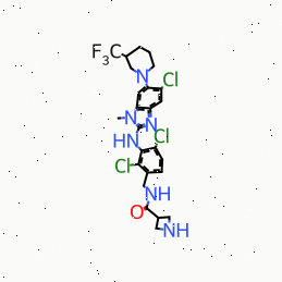 Cn1c(Nc2c(Cl)ccc(CNC(=O)C3CNC3)c2Cl)nc2cc(Cl)c(N3CCCC(C(F)(F)F)C3)cc21